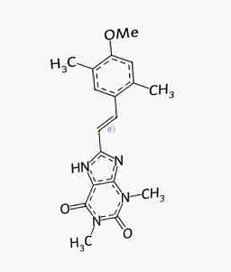 COc1cc(C)c(/C=C/c2nc3c([nH]2)c(=O)n(C)c(=O)n3C)cc1C